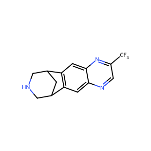 FC(F)(F)c1cnc2cc3c(cc2n1)C1CNCC3C1